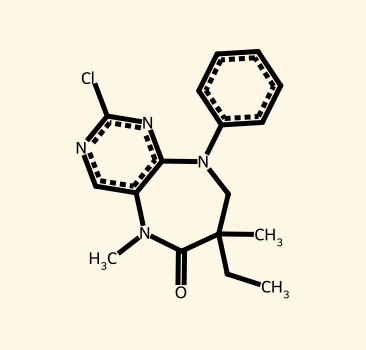 CCC1(C)CN(c2ccccc2)c2nc(Cl)ncc2N(C)C1=O